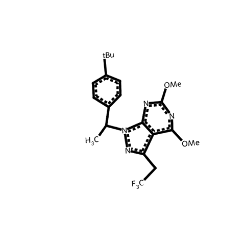 COc1nc(OC)c2c(CC(F)(F)F)nn(C(C)c3ccc(C(C)(C)C)cc3)c2n1